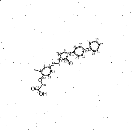 Cc1cc(SCn2ncn(-c3ccc(-c4ccccc4)cc3)c2=O)ccc1OCC(=O)O